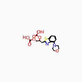 O=C(O)OCC(Cc1nc2c(N3CCOCC3)cccc2s1)OC(=O)O